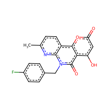 Cc1ccc2c3oc(=O)cc(O)c3c(=O)n(Cc3ccc(F)cc3)c2n1